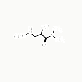 CN(C)C(=O)C(O)CNC=O